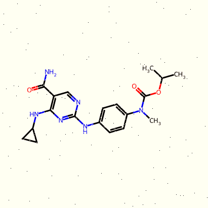 CC(C)OC(=O)N(C)c1ccc(Nc2ncc(C(N)=O)c(NC3CC3)n2)cc1